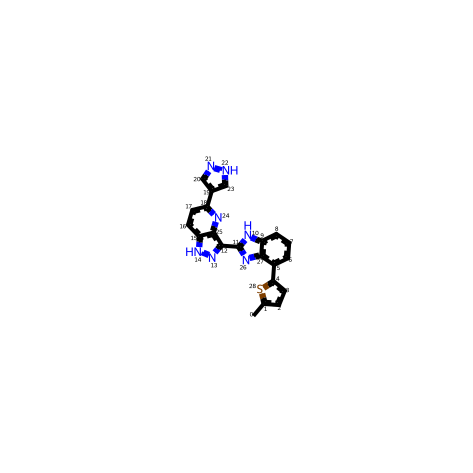 Cc1ccc(-c2cccc3[nH]c(-c4n[nH]c5ccc(-c6cn[nH]c6)nc45)nc23)s1